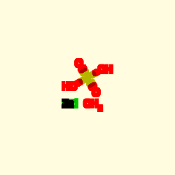 Cl.O.O=S(=O)(O)O.[Zn]